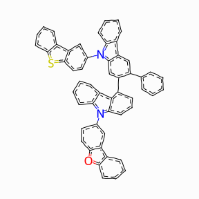 c1ccc(-c2cc3c4ccccc4n(-c4ccc5sc6ccccc6c5c4)c3cc2-c2cccc3c2c2ccccc2n3-c2ccc3oc4ccccc4c3c2)cc1